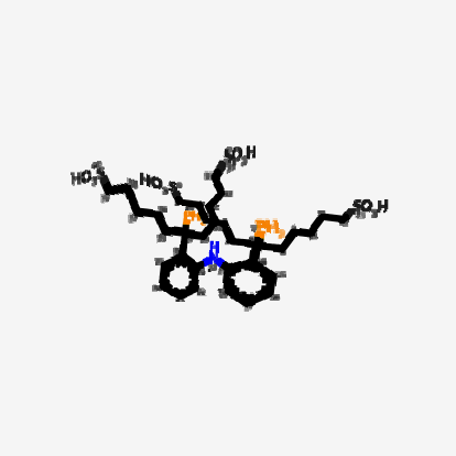 O=S(=O)(O)CCCCCC(P)(CCCCCS(=O)(=O)O)c1ccccc1Nc1ccccc1C(P)(CCCCCS(=O)(=O)O)CCCCCS(=O)(=O)O